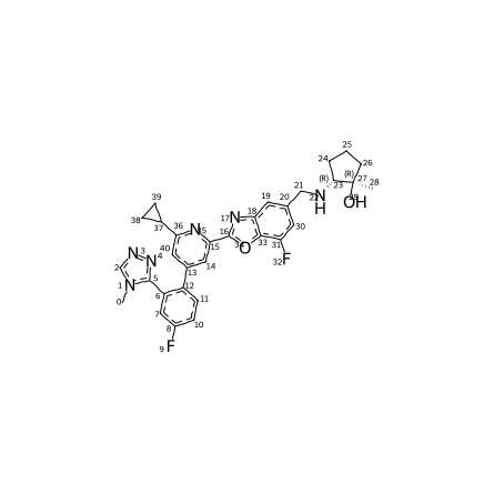 Cn1cnnc1-c1cc(F)ccc1-c1cc(-c2nc3cc(CN[C@@H]4CCC[C@@]4(C)O)cc(F)c3o2)nc(C2CC2)c1